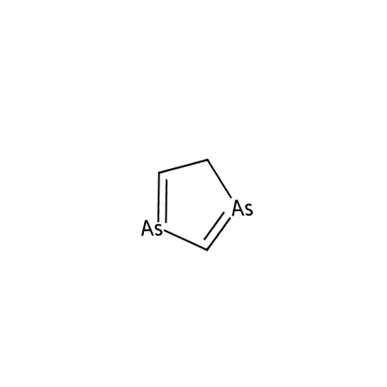 C1=[As]C=[As]C1